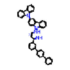 N=C(/C=C\Nn1c2ccccc2c2cc(-n3c4ccccc4c4ccccc43)ccc21)C1C=CC=C(c2ccc(-c3ccccc3)cc2)C1